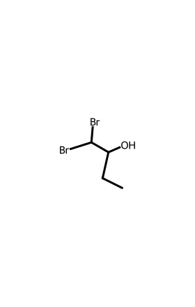 CCC(O)C(Br)Br